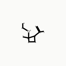 C=C(C)C1CCC1(C)OCC